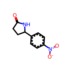 O=C1CCC(c2ccc([N+](=O)[O-])cc2)N1